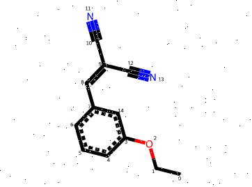 CCOc1cccc(C=C(C#N)C#N)c1